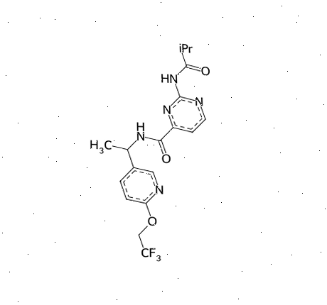 CC(C)C(=O)Nc1nccc(C(=O)NC(C)c2ccc(OCC(F)(F)F)nc2)n1